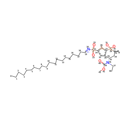 CCCCCCCCCCCCCCCCCCC/C=N/S(=O)(=O)c1cc2c(s1)S(=O)(=O)[C@@H](C)C[C@@H]2N(CC)C(=O)OC